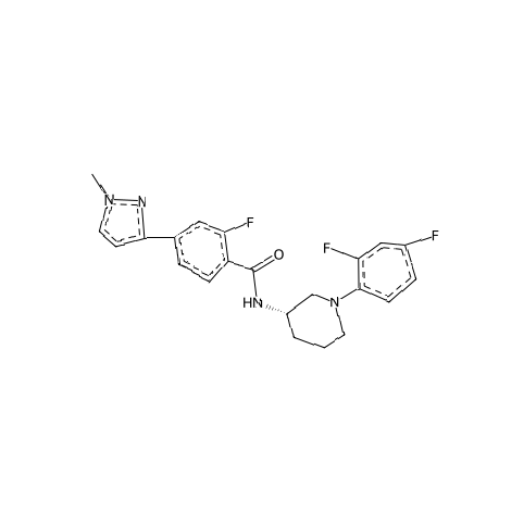 Cn1ccc(-c2ccc(C(=O)N[C@H]3CCCN(c4ccc(F)cc4F)C3)c(F)c2)n1